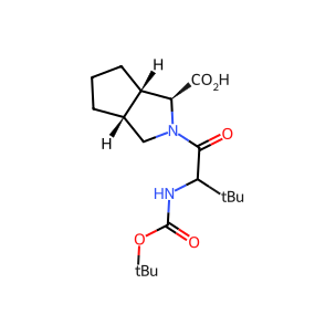 CC(C)(C)OC(=O)NC(C(=O)N1C[C@@H]2CCC[C@@H]2[C@H]1C(=O)O)C(C)(C)C